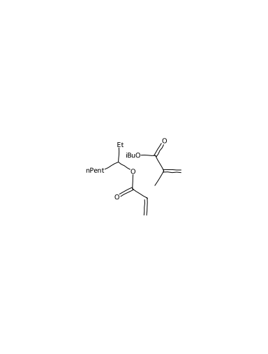 C=C(C)C(=O)OCC(C)C.C=CC(=O)OC(CC)CCCCC